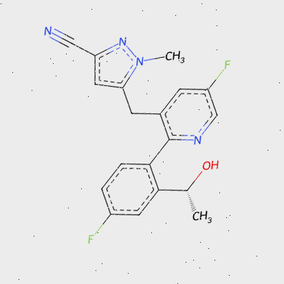 C[C@@H](O)c1cc(F)ccc1-c1ncc(F)cc1Cc1cc(C#N)nn1C